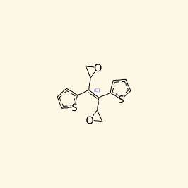 c1csc(/C(=C(/c2cccs2)C2CO2)C2CO2)c1